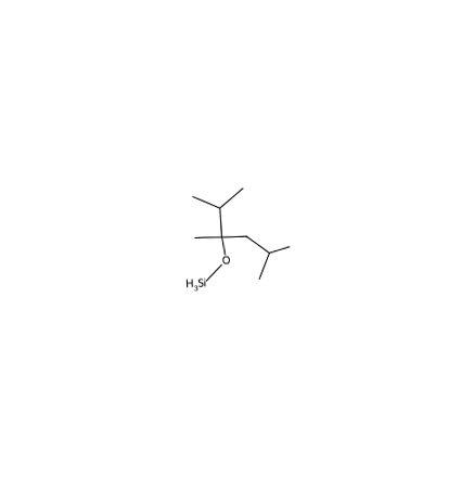 CC(C)CC(C)(O[SiH3])C(C)C